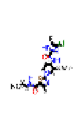 CCc1[nH]c(C(=O)N[C@@H]2CCN(c3nc(C)c(C(=O)NCCC#N)s3)C[C@@H]2OC)nc1Cl